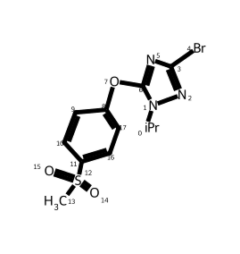 CC(C)n1nc(Br)nc1Oc1ccc(S(C)(=O)=O)cc1